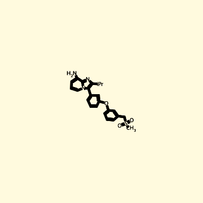 CC(C)c1nc2c(N)cccn2c1-c1cccc(Oc2cccc(CS(C)(=O)=O)c2)c1